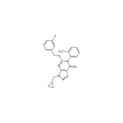 Cc1ccccc1-n1c(SCc2cccc(F)c2)nc2c(cnn2CC2CC2)c1=O